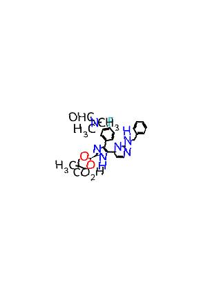 CC1(C(=O)O)COC(c2nc(-c3ccc(F)cc3)c(-c3ccnc(NCc4ccccc4)n3)[nH]2)OC1.CN(C)C=O